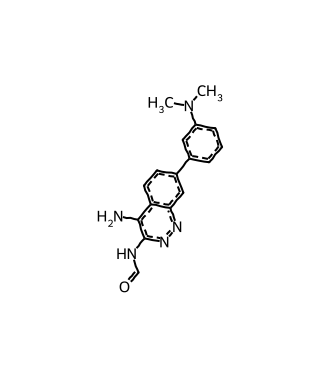 CN(C)c1cccc(-c2ccc3c(N)c(NC=O)nnc3c2)c1